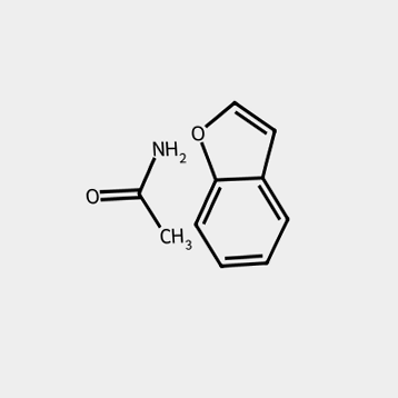 CC(N)=O.c1ccc2occc2c1